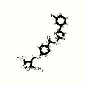 Cc1noc(C)c1COc1ccc(C(=O)Nc2nc(-c3cccc(F)c3)cs2)cc1